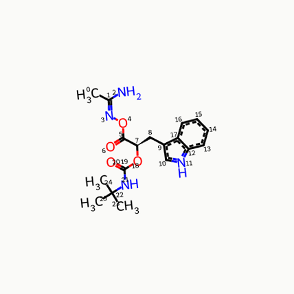 CC(N)=NOC(=O)[C@@H](Cc1c[nH]c2ccccc12)OC(=O)NC(C)(C)C